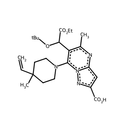 C=CC1(C)CCN(c2c(C(OC(C)(C)C)C(=O)OCC)c(C)nc3cc(C(=O)O)nn23)CC1